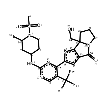 CS(=O)(=O)N1CCC(Nc2ncc(C(F)(F)F)c(-c3cc4c(s3)C3(CO)CCCN3C4=O)n2)CC1I